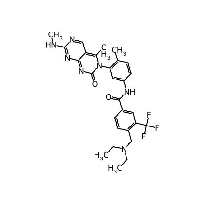 CCN(CC)Cc1ccc(C(=O)Nc2ccc(C)c(-n3c(C)c4cnc(NC)nc4nc3=O)c2)cc1C(F)(F)F